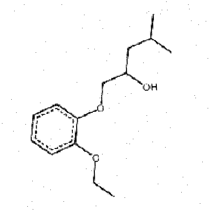 CCOc1ccccc1OCC(O)CC(C)C